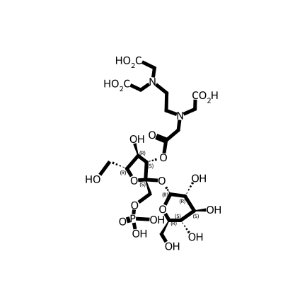 O=C(O)CN(CCN(CC(=O)O)CC(=O)O[C@H]1[C@H](O)[C@@H](CO)O[C@@]1(COP(=O)(O)O)O[C@H]1O[C@H](CO)[C@@H](O)[C@H](O)[C@H]1O)CC(=O)O